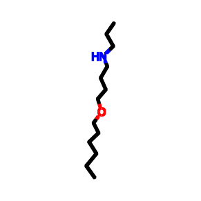 CCCCCCOCCCCNCCC